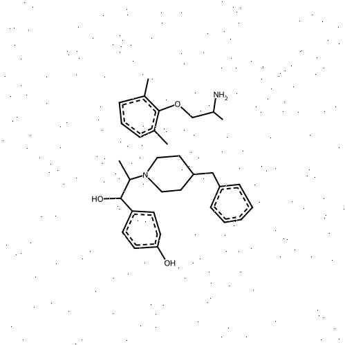 CC(C(O)c1ccc(O)cc1)N1CCC(Cc2ccccc2)CC1.Cc1cccc(C)c1OCC(C)N